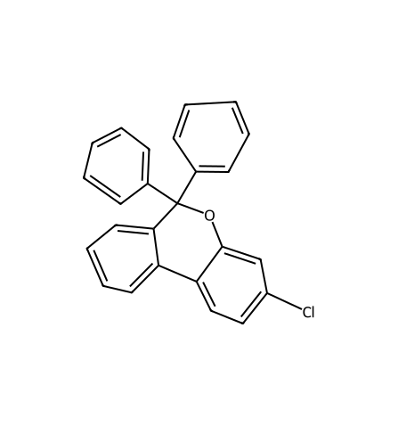 Clc1ccc2c(c1)OC(c1ccccc1)(c1ccccc1)c1ccccc1-2